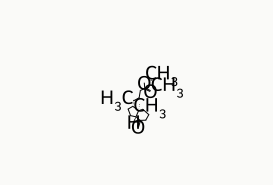 CC(C)OC(=O)CCC(C)[C@H]1CC[C@H]2C(=O)CCC[C@]12C